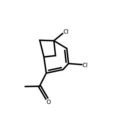 CC(=O)C1=CC(Cl)=CC2(Cl)CC1C2